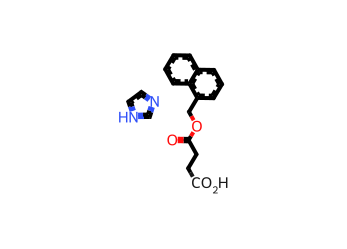 O=C(O)CCC(=O)OCc1cccc2ccccc12.c1c[nH]cn1